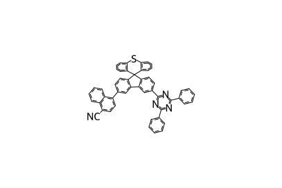 N#Cc1ccc(-c2ccc3c(c2)-c2cc(-c4nc(-c5ccccc5)nc(-c5ccccc5)n4)ccc2C32c3ccccc3Sc3ccccc32)c2ccccc12